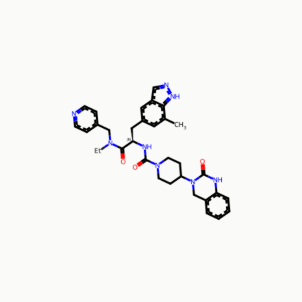 CCN(Cc1ccncc1)C(=O)[C@@H](Cc1cc(C)c2[nH]ncc2c1)NC(=O)N1CCC(N2Cc3ccccc3NC2=O)CC1